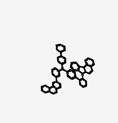 C1=CC2C(c3ccccc31)c1ccccc1N2c1ccccc1-c1ccc(N(c2ccc(-c3ccccc3)cc2)c2cccc(-c3ccc4ccc5ccccc5c4c3)c2)cc1